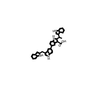 CC(c1[nH]c2ccc(-c3ccc4[nH]cc(Cc5cc6ccccc6[nH]5)c4c3)cc2c1C(=O)O)c1c[nH]c2ccccc12